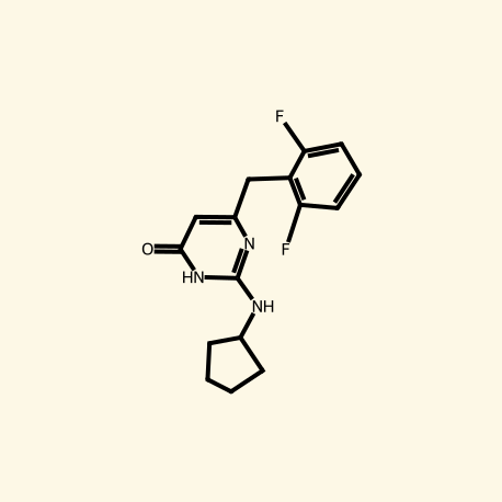 O=c1cc(Cc2c(F)cccc2F)nc(NC2CCCC2)[nH]1